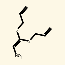 C=CCSC(=C[N+](=O)[O-])SCC=C